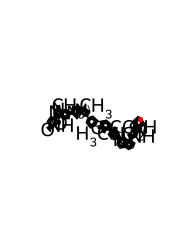 Cc1c(O[C@H]2CC[C@H](CC[C@H](C)N3CCN(c4ccc5c(C6CCC(=O)NC6=O)nn(C)c5c4)CC3)CC2)cccc1-c1ccc(N2CCc3cccc(C(=O)Nc4nc5ccccc5s4)c3C2)nc1C(=O)O